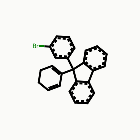 Brc1cccc(C2(C3=CCCC=C3)c3ccccc3-c3ccccc32)c1